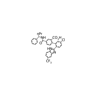 CCCC(NC(=O)c1ccc(-c2cc(Cl)ccc2-c2nc3cc(C(F)(F)F)ccc3[nH]2)c(C(=O)O)c1)c1ccccc1